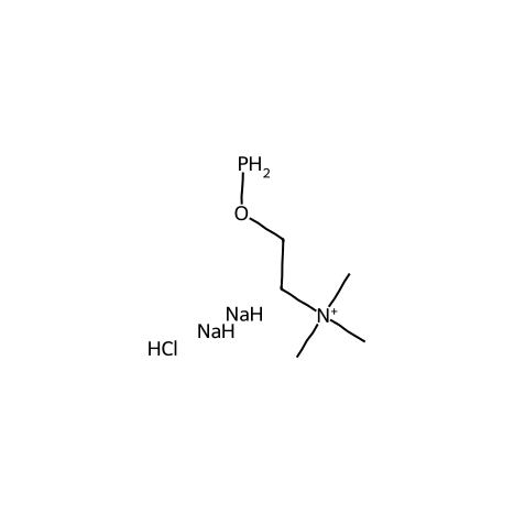 C[N+](C)(C)CCOP.Cl.[NaH].[NaH]